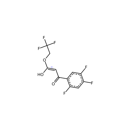 O=C(/C=C(\O)OCC(F)(F)F)c1cc(F)c(F)cc1F